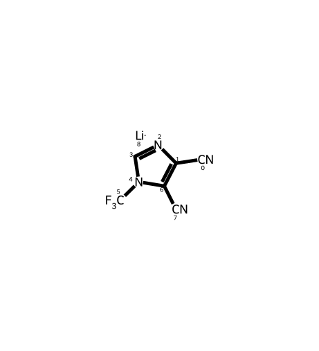 N#Cc1ncn(C(F)(F)F)c1C#N.[Li]